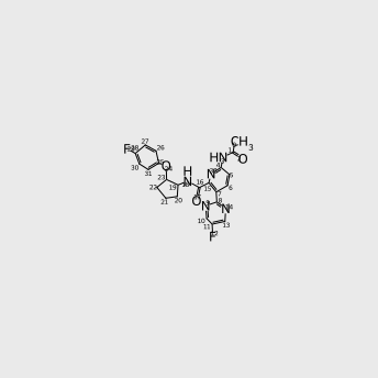 CC(=O)Nc1ccc(-c2ncc(F)cn2)c(C(=O)NC2CCCC2Oc2ccc(F)cc2)n1